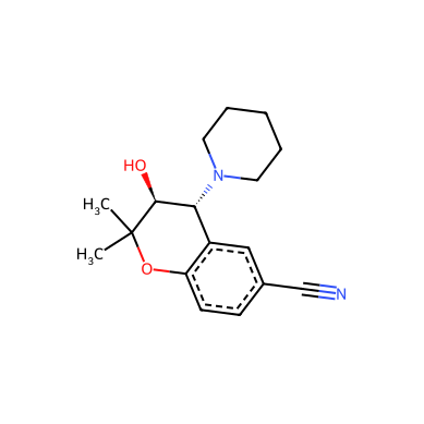 CC1(C)Oc2ccc(C#N)cc2[C@@H](N2CCCCC2)[C@@H]1O